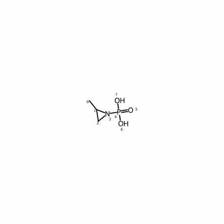 CC1CN1P(=O)(O)O